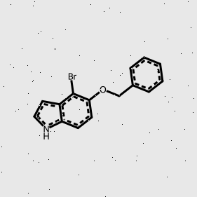 Brc1c(OCc2ccccc2)ccc2[nH]ccc12